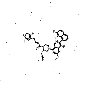 COc1nc(N2CCN(C(=O)/C=C/CN3C[C@@H]4C[C@H]3CO4)[C@@H](CC#N)C2)c2cnc(-c3cccc4ccc(F)c(F)c34)c(F)c2n1